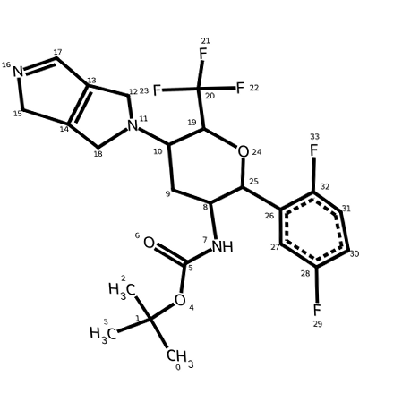 CC(C)(C)OC(=O)NC1CC(N2CC3=C(CN=C3)C2)C(C(F)(F)F)OC1c1cc(F)ccc1F